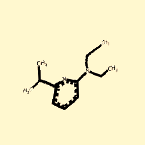 CCN(CC)c1cccc(C(C)C)n1